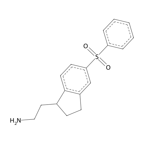 NCCC1CCc2cc(S(=O)(=O)c3ccccc3)ccc21